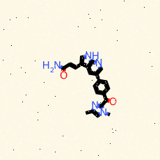 Cc1cn(C)c(C(=O)c2ccc(-c3cnc4[nH]cc(/C=C/C(N)=O)c4c3)cc2)n1